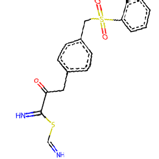 N=CSC(=N)C(=O)Cc1ccc(CS(=O)(=O)c2ccccc2)cc1